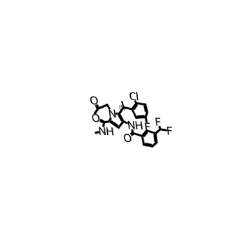 CNC(=O)c1cc(NC(=O)c2cccc(C(F)F)c2)c([C@@H](C)c2cc(F)ccc2Cl)n1CC(C)=O